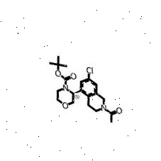 CC(=O)N1CCc2c(cc(Cl)cc2[C@H]2COCCN2C(=O)OC(C)(C)C)C1